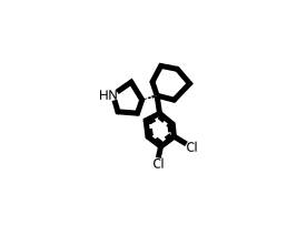 Clc1ccc(C2([C@@H]3CCNC3)CCCCC2)cc1Cl